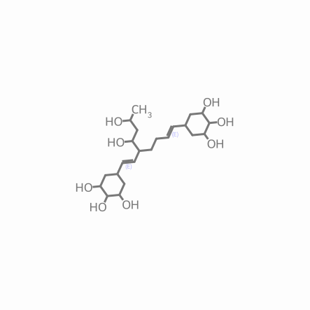 CC(O)CC(O)C(/C=C/C1CC(O)C(O)C(O)C1)CC/C=C/C1CC(O)C(O)C(O)C1